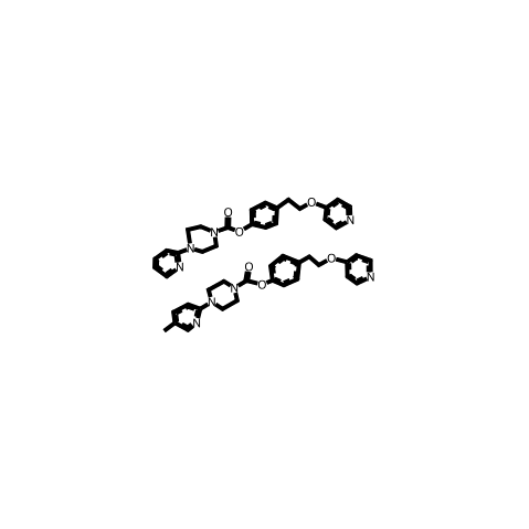 Cc1ccc(N2CCN(C(=O)Oc3ccc(CCOc4ccncc4)cc3)CC2)nc1.O=C(Oc1ccc(CCOc2ccncc2)cc1)N1CCN(c2ccccn2)CC1